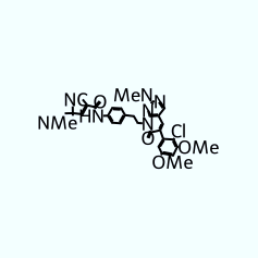 CNc1ncc2cc(-c3cc(OC)cc(OC)c3Cl)c(=O)n(CCc3ccc(NC(=O)C(C#N)=CC(C)(C)NC)cc3)c2n1